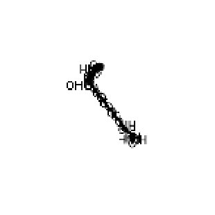 O=CN(CCOCCOCCOCCOCCOCCOCCOCCOCCNC(=O)CCCC[C@@H]1SC[C@@H]2NC(=O)N[C@@H]21)c1cnc(N2CCC3(CC2)NC(=O)N(c2ccccc2)C3=O)s1